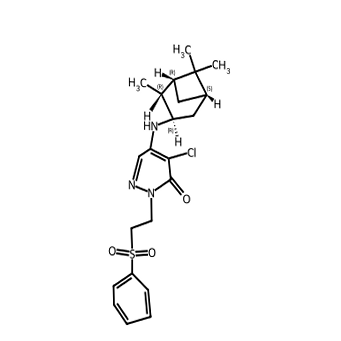 C[C@@H]1[C@H]2C[C@@H](C[C@H]1Nc1cnn(CCS(=O)(=O)c3ccccc3)c(=O)c1Cl)C2(C)C